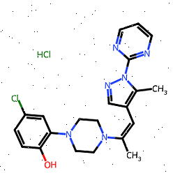 C/C(=C/c1cnn(-c2ncccn2)c1C)N1CCN(c2cc(Cl)ccc2O)CC1.Cl